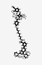 C[C@@H]1COCCN1c1nc(N2CCOC[C@H]2C)c2ccc(-c3cccc(C(=O)NCCCCCCCCOc4ccc(C(=O)NC5C(C)(C)C(Oc6ccc(C#N)c(Cl)c6)C5(C)C)cc4)c3)nc2n1